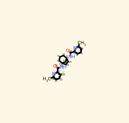 Cc1cccc(C(=O)N[C@]23CCC[C@](NC(=O)c4nc(C)ccc4F)(CC2)C3)n1